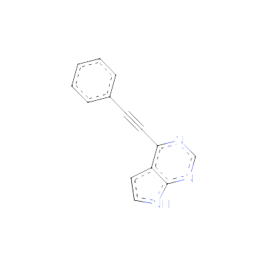 C(#Cc1ncnc2[nH]ccc12)c1ccccc1